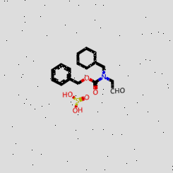 O=CCN(CC1CCCCC1)C(=O)OCc1ccccc1.O=S(O)O